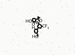 O=C(Nc1cc(-c2cccc(CO)c2)cc(C(F)(F)F)c1)C1(c2ccc(O)c(O)c2)CC1